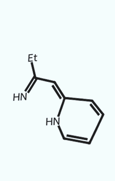 CCC(=N)/C=C1/C=CC=CN1